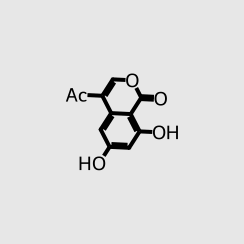 CC(=O)c1coc(=O)c2c(O)cc(O)cc12